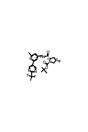 Cc1cc(CNC(=O)[C@@H]2C[C@@H](F)CN2C(=O)OC(C)(C)C)cc(-c2cnc(C(F)(F)F)nc2)n1